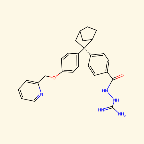 N=C(N)NNC(=O)c1ccc([C@]2(c3ccc(OCc4ccccn4)cc3)CC3CCC2C3)cc1